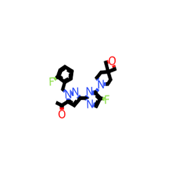 CC(=O)c1cc(-c2ncc(F)c(N3CCC4(CC3)COC4)n2)nn1Cc1ccccc1F